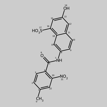 Cc1ccc(C(=O)Nc2ccc3cc(O)cc(S(=O)(=O)O)c3c2)c([N+](=O)[O-])c1